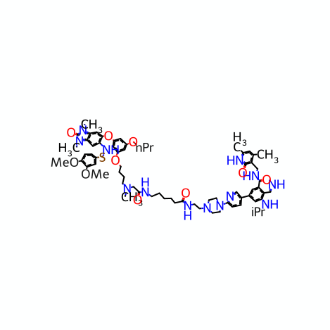 CCCOc1cc(OCCCCN(C)CC(=O)NCCCCCC(=O)NCCN2CCN(c3ccc(-c4cc(NC(C)C)c(C=N)c(C(=O)NCc5c(C)cc(C)[nH]c5=O)c4)cn3)CC2)cc(Oc2cc3c(cc2NSc2ccc(OC)c(OC)c2)n(C)c(=O)n3C)c1